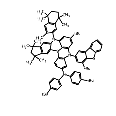 Cc1cc2c(cc1N1c3cc4c(cc3B3c5ccc(N(c6ccc(C(C)(C)C)cc6)c6ccc(C(C)(C)C)cc6)cc5N(c5cc(C(C)(C)C)c6sc7ccccc7c6c5)c5cc(C(C)(C)C)cc1c53)C(C)(C)CC4(C)C)C(C)(C)CCC2(C)C